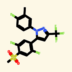 Cc1cc(-n2nc(C(F)(F)F)cc2-c2cc(F)c(S(C)(=O)=O)cc2F)ccc1F